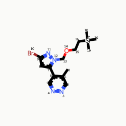 Cc1cnncc1-c1cc(Br)nn1COCC[Si](C)(C)C